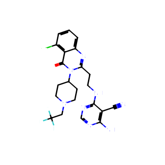 N#Cc1c(N)ncnc1NCCc1nc2cccc(Cl)c2c(=O)n1C1CCN(CC(F)(F)F)CC1